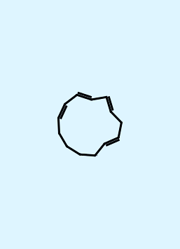 [CH]1/C=C/C/C=C/C=C/C=C\CCC1